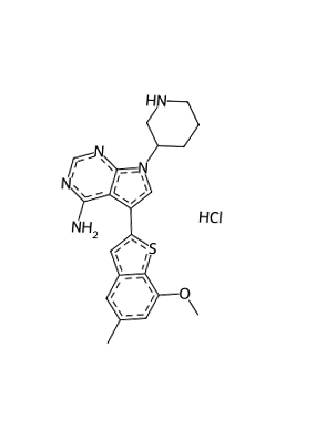 COc1cc(C)cc2cc(-c3cn(C4CCCNC4)c4ncnc(N)c34)sc12.Cl